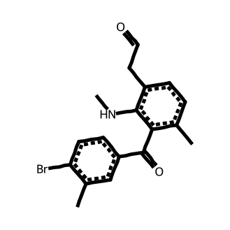 CNc1c(CC=O)ccc(C)c1C(=O)c1ccc(Br)c(C)c1